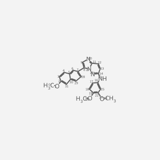 COc1ccc2cc(-c3cnc4ccc(Nc5ccc(OC)c(OC)c5)nn34)ccc2c1